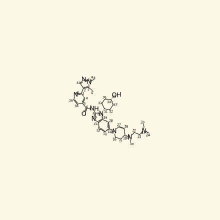 Cc1c(-c2cc(C(=O)Nc3nc4ccc(N5CCC(N(C)CCN(C)C)CC5)cc4n3[C@H]3CC[C@@H](O)CC3)ccn2)cnn1C